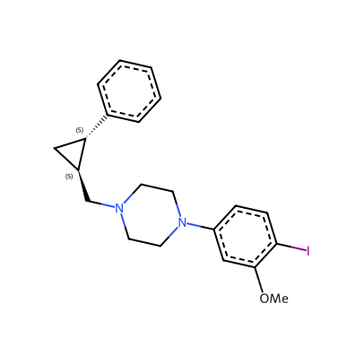 COc1cc(N2CCN(C[C@H]3C[C@@H]3c3ccccc3)CC2)ccc1I